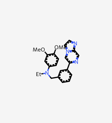 CCN(Cc1cccc(-c2cn3ccnc3cn2)c1)c1ccc(OC)c(OC)c1